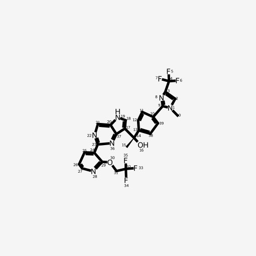 Cn1cc(C(F)(F)F)nc1-c1ccc([C@](C)(O)c2c[nH]c3cnc(-c4cccnc4OCC(F)(F)F)nc23)cc1